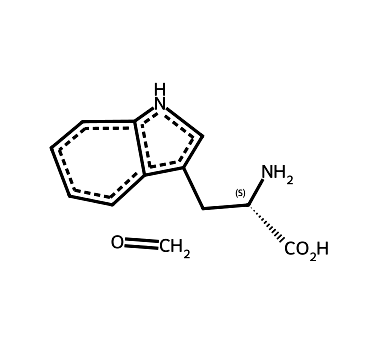 C=O.N[C@@H](Cc1c[nH]c2ccccc12)C(=O)O